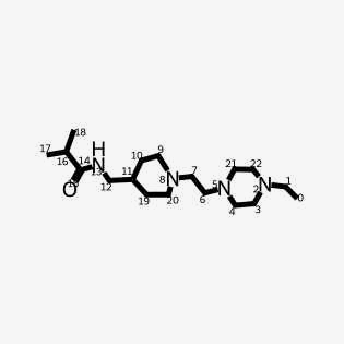 CCN1CCN(CCN2CCC(CNC(=O)C(C)C)CC2)CC1